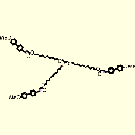 COc1ccc(-c2ccc(/C=C/C(=O)OCCCCCCCCCCOCC(COCCCCCCCCCCOC(=O)/C=C/c3ccc(-c4ccc(OC)cc4)cc3)OCCCCCCCCCCOC(=O)/C=C/c3ccc(-c4ccc(OC)cc4)cc3)cc2)cc1